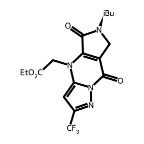 CCOC(=O)Cn1c2c(c(=O)n3nc(C(F)(F)F)cc13)CN([C@H](C)CC)C2=O